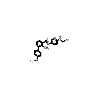 CC(=O)CNc1ccc(NC(=O)c2cccc(-c3ccc(OC(F)(F)F)cc3)c2C)cn1